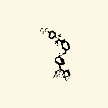 CC(=O)C[C@@H](c1ccc(OCc2cccc(S(=O)(=O)c3ccc(C(F)(F)F)cc3)c2)cc1)c1ccon1